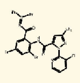 CC(C)S(=NC(=O)c1cc(Br)cc(Br)c1NC(=O)c1cc(C(F)(F)F)nn1-c1ncccc1Cl)C(C)C